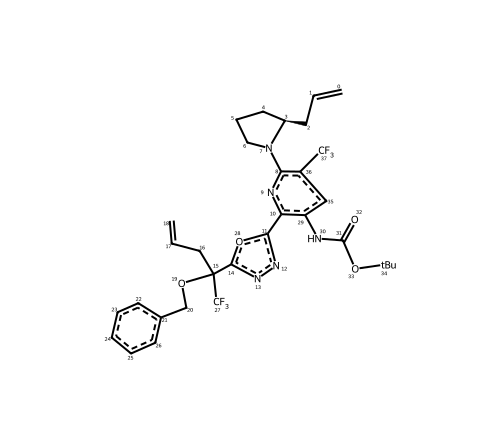 C=CC[C@@H]1CCCN1c1nc(-c2nnc(C(CC=C)(OCc3ccccc3)C(F)(F)F)o2)c(NC(=O)OC(C)(C)C)cc1C(F)(F)F